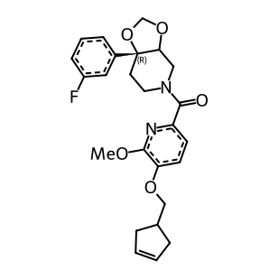 COc1nc(C(=O)N2CC[C@]3(c4cccc(F)c4)OCOC3C2)ccc1OCC1CC=CC1